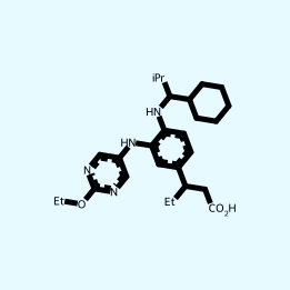 CCOc1ncc(Nc2cc(C(CC)CC(=O)O)ccc2NC(C(C)C)C2CCCCC2)cn1